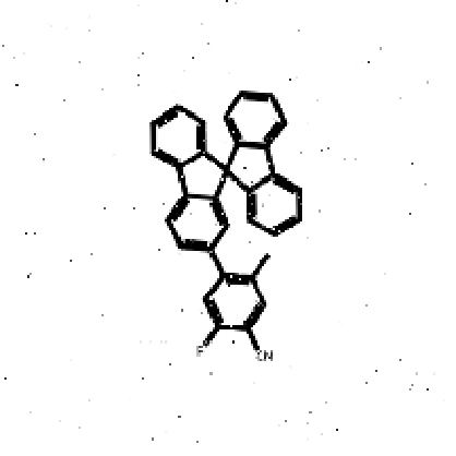 Cc1cc(C#N)c(F)cc1-c1ccc2c(c1)C1(c3ccccc3-c3ccccc31)c1ccccc1-2